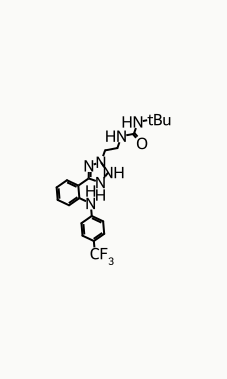 CC(C)(C)NC(=O)NCCN1N=C(c2ccccc2Nc2ccc(C(F)(F)F)cc2)NN1